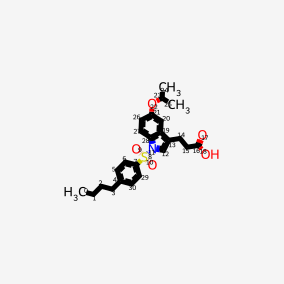 CCCCc1ccc(S(=O)(=O)n2cc(CCC(=O)O)c3cc(OC(C)C)ccc32)cc1